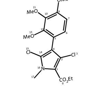 CCOC(=O)c1c(Cl)c(-c2ccc(OC)c(OC)c2OC)c(Cl)n1C